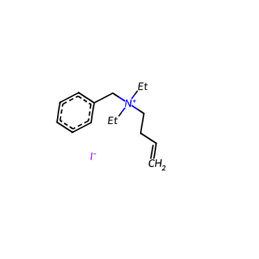 C=CCC[N+](CC)(CC)Cc1ccccc1.[I-]